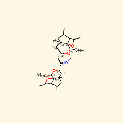 C/N=C(\C[C@H]1O[C@H](OC)[C@@]23OC(C)C2C(C)C[C@H]3[C@H]1C)[C@H]1O[C@H](OC)[C@@]23OC(C)C2C(C)C[C@H]3[C@H]1C